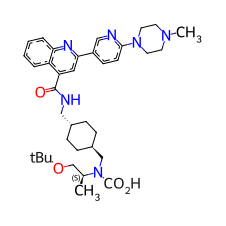 C[C@@H](COC(C)(C)C)N(C[C@H]1CC[C@H](CNC(=O)c2cc(-c3ccc(N4CCN(C)CC4)nc3)nc3ccccc23)CC1)C(=O)O